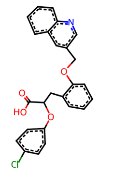 O=C(O)C(Cc1ccccc1OCc1cnc2ccccc2c1)Oc1ccc(Cl)cc1